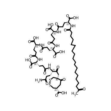 CC(=O)CCCCCCCCCCCCCCCCC(=O)N[C@@H](CCC(=O)N[C@@H](CCC(=O)N[C@@H](CCC(=O)N[C@@H](CCC(=O)N[C@H](CCC(=O)N[C@@H](CCC(N)=O)C(=O)C[C@H]1CSSC[C@@H](C(=O)O)CC1=O)C(=O)O)C(=O)O)C(=O)O)C(=O)O)C(=O)O